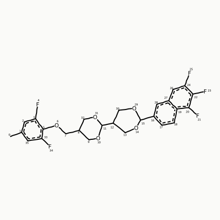 Cc1cc(F)c(OCC2COC(C3COC(c4ccc5c(F)c(F)c(F)cc5c4)OC3)OC2)c(F)c1